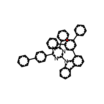 c1ccc(-c2ccc(-c3nc(-c4ccccc4)nc(-n4c5ccccc5c5cccc(-c6cc(-c7ccccc7)cc(-c7ccccc7)c6)c54)n3)cc2)cc1